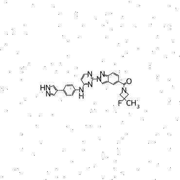 CC1(F)CN(C(=O)c2ccc3nn(-c4nccc(Nc5ccc(-c6cn[nH]c6)cc5)n4)cc3c2)C1